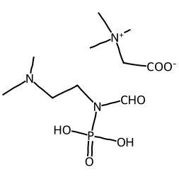 CN(C)CCN(C=O)P(=O)(O)O.C[N+](C)(C)CC(=O)[O-]